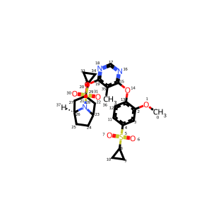 COc1cc(S(=O)(=O)C2CC2)ccc1Oc1ncnc(OC2CC3CC[C@@H](C2)N3S(=O)(=O)C2CC2)c1C